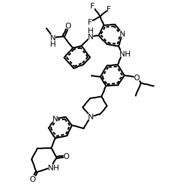 CNC(=O)c1ccccc1Nc1cc(Nc2cc(C)c(C3CCN(Cc4cncc(C5CCC(=O)NC5=O)c4)CC3)cc2OC(C)C)ncc1C(F)(F)F